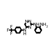 Nc1ccccc1Nc1nncc(Nc2ccc(C(F)(F)F)cc2)n1